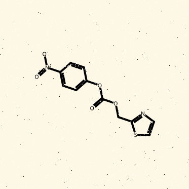 O=C(OCc1nccs1)Oc1ccc([N+](=O)[O-])cc1